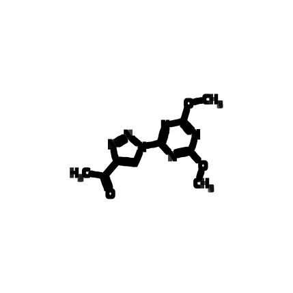 COc1nc(OC)nc(-n2cc(C(C)=O)nn2)n1